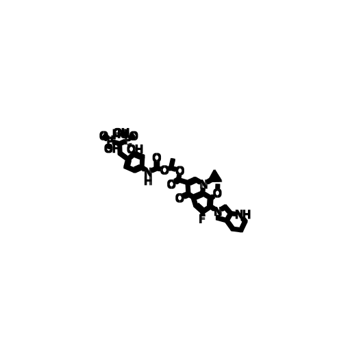 COc1c(N2CC3CCCNC3C2)c(F)cc2c(=O)c(C(=O)OC(C)OC(=O)Nc3ccc(CC(P(=O)(O)O)P(=O)(O)O)cc3)cn(C3CC3)c12